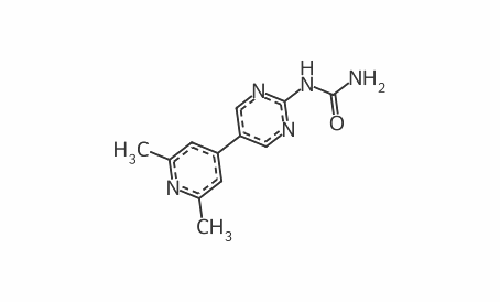 Cc1cc(-c2cnc(NC(N)=O)nc2)cc(C)n1